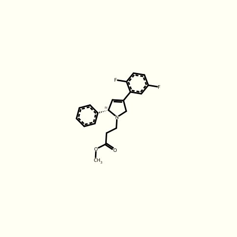 COC(=O)CCN1CC(c2cc(F)ccc2F)=C[C@H]1c1ccccc1